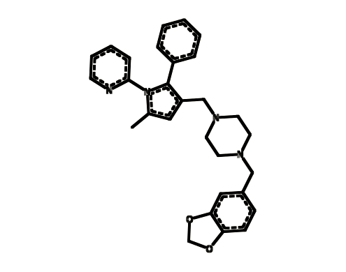 Cc1cc(CN2CCN(Cc3ccc4c(c3)OCO4)CC2)c(-c2ccccc2)n1-c1ccccn1